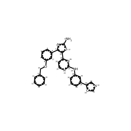 Nc1nc(-c2cccc(OCc3ccccc3)c2)c(-c2ccnc(Nc3cccc(-c4cnco4)c3)n2)s1